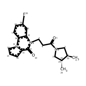 C[C@@H]1CN(C(=O)CCn2c(=O)c3cccn3c3ccc(F)cc32)C[C@H]1C